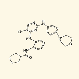 O=C(Nc1ccccc1Nc1nc(Nc2ccc(N3CCOCC3)cc2)ncc1Cl)C1CCCCC1